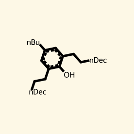 CCCCCCCCCCCCc1cc(CCCC)cc(CCCCCCCCCCCC)c1O